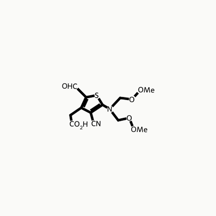 COOCN(COOC)c1sc(C=O)c(CC(=O)O)c1C#N